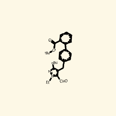 CCCCc1nn(CC)c(C=O)c1Cc1ccc(-c2ccccc2C(=O)OC(C)(C)C)cc1